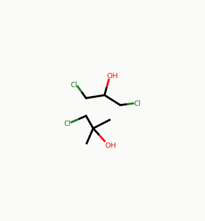 CC(C)(O)CCl.OC(CCl)CCl